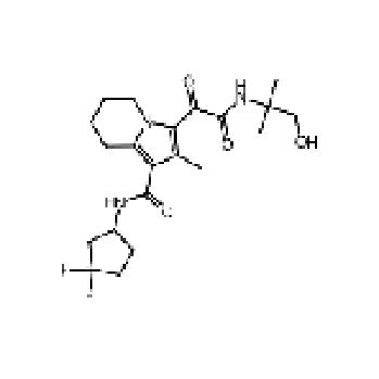 Cc1c(C(=O)NC2CCC(F)(F)C2)c2n(c1C(=O)C(=O)NC(C)(C)CO)CCCC2